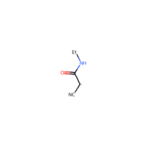 CCNC(=O)[CH]C#N